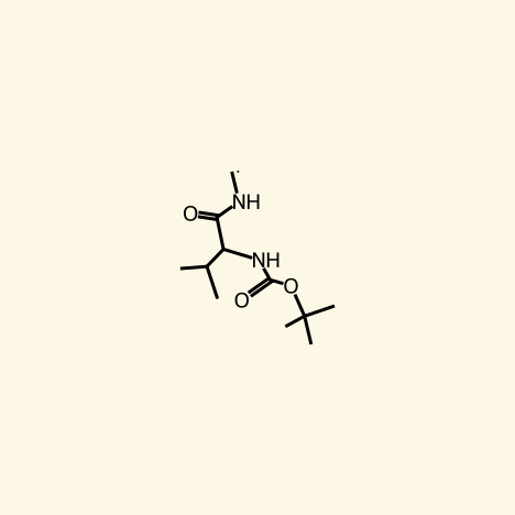 [CH2]NC(=O)C(NC(=O)OC(C)(C)C)C(C)C